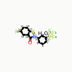 CS(F)(F)(F)(F)c1cccc(-n2sc3ccc(F)cc3c2=O)c1